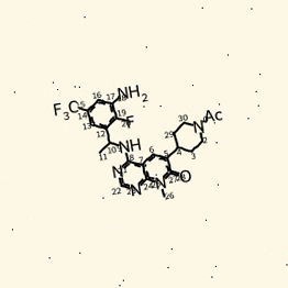 CC(=O)N1CCC(c2cc3c(NC(C)c4cc(C(F)(F)F)cc(N)c4F)ncnc3n(C)c2=O)CC1